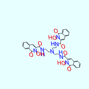 O=C(NCCN(CCNC(=O)c1cc2ccccc2c(=O)n1O)CCNC(=O)c1cc2ccccc2c(=O)n1O)c1cc2ccccc2c(=O)n1O